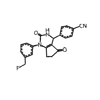 N#Cc1ccc(C2NC(=O)N(c3cccc(CF)c3)C3=C2C(=O)CC3)cc1